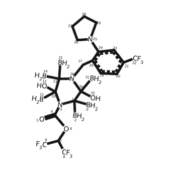 BC1(B)N(C(=O)OC(C(F)(F)F)C(F)(F)F)C(B)(O)C(B)(B)N(Cc2ccc(C(F)(F)F)cc2N2CCCC2)C1(B)O